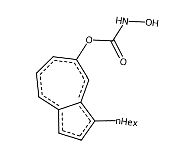 CCCCCCc1ccc2cccc(OC(=O)NO)cc1-2